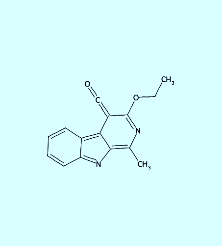 CCOc1nc(C)c2c(c1=C=O)=c1ccccc1=N2